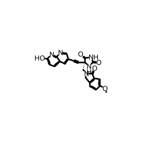 COc1ccc2c(c1)C(=O)N(C[C@@]1(C#Cc3cnc4nc(O)ccc4c3)NC(=O)NC1=O)C2